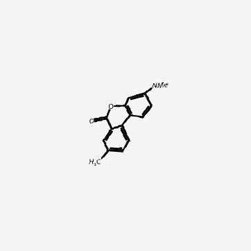 CNc1ccc2c(c1)oc(=O)c1cc(C)ccc12